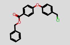 O=C(OCc1ccccc1)c1ccc(Oc2ccc(CCl)cc2)cc1